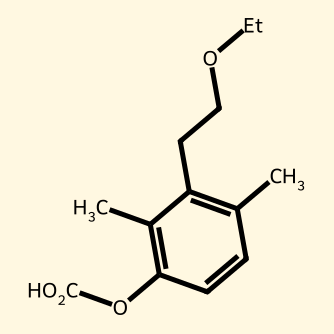 CCOCCc1c(C)ccc(OC(=O)O)c1C